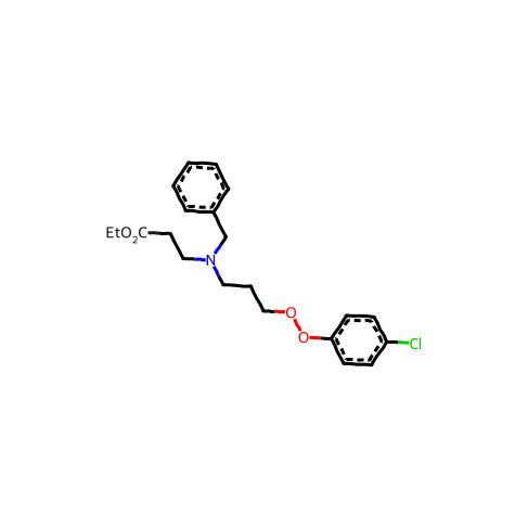 CCOC(=O)CCN(CCCOOc1ccc(Cl)cc1)Cc1ccccc1